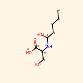 CCCCC(O)N[C@@H](CO)C(=O)O